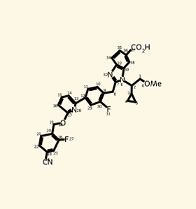 COCC(C1CC1)n1c(Cc2ccc(-c3cccc(OCc4ccc(C#N)cc4F)n3)cc2F)nc2ccc(C(=O)O)cc21